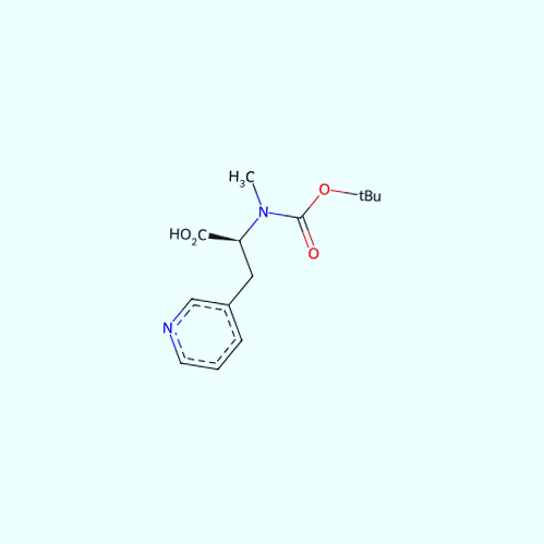 CN(C(=O)OC(C)(C)C)[C@@H](Cc1cccnc1)C(=O)O